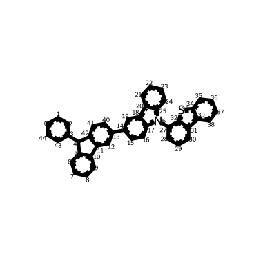 c1ccc(C2c3ccccc3-c3cc(-c4ccc5c(c4)c4ccccc4n5-c4cccc5c4sc4ccccc45)ccc32)cc1